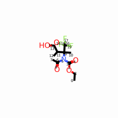 CCOC(=O)N(C(C)=O)C(C)(C(C)C(=O)O)C(F)(F)F